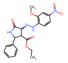 CCOC(=O)C1C(=NNc2ccc([N+](=O)[O-])cc2OC)C(=O)NC1c1ccccc1